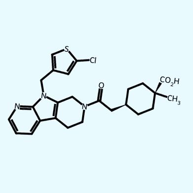 C[C@]1(C(=O)O)CC[C@@H](CC(=O)N2CCc3c(n(Cc4csc(Cl)c4)c4ncccc34)C2)CC1